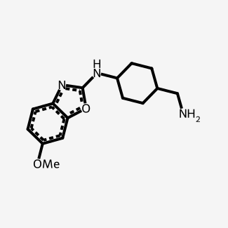 COc1ccc2nc(NC3CCC(CN)CC3)oc2c1